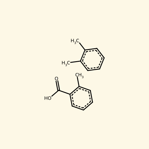 Cc1ccccc1C.Cc1ccccc1C(=O)O